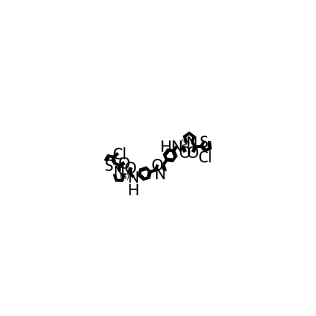 O=C(Nc1ccc(-c2cnc(-c3ccc(NC(=O)[C@@H]4CCCN4C(=O)c4sccc4Cl)cc3)o2)cc1)[C@@H]1CCCN1C(=O)c1sccc1Cl